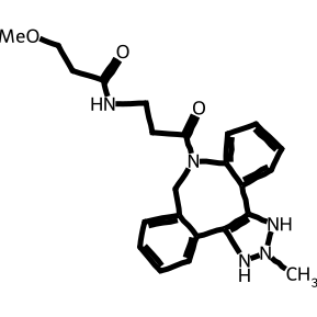 COCCC(=O)NCCC(=O)N1Cc2ccccc2C2=C(NN(C)N2)c2ccccc21